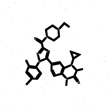 CCN1CCN(C(=O)c2nc(-c3ccc4c(c3)N(C3CC3)C(C)C(=O)N4C)n(-c3ccc(C)cc3C)n2)CC1